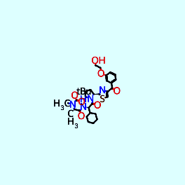 C[C@@H](C(=O)N[C@H](C(=O)N1CCC[C@H]1c1nc(C(=O)c2cccc(OCCO)c2)cs1)C1CCCCC1)N(C)C(=O)OC(C)(C)C